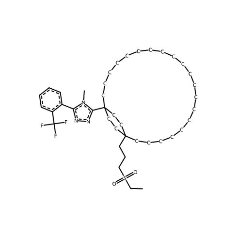 CCS(=O)(=O)CCCC12CCCCCCCCCCCCCCCCCCCCC(c3nnc(-c4ccccc4C(F)(F)F)n3C)(CC1)CC2